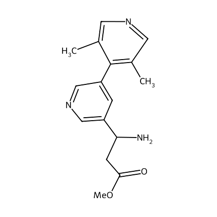 COC(=O)CC(N)c1cncc(-c2c(C)cncc2C)c1